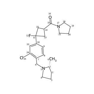 C[C@@H]1CCCN1Cc1ccc(C2(F)CC(C(=O)N3CCCC3)C2)cc1Cl